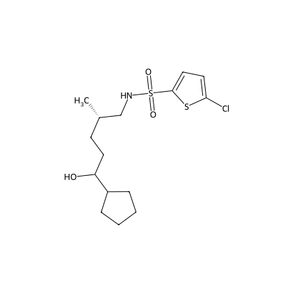 C[C@@H](CCC(O)C1CCCC1)CNS(=O)(=O)c1ccc(Cl)s1